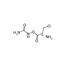 NC(=O)NOC(=O)[C@@H](N)CCl